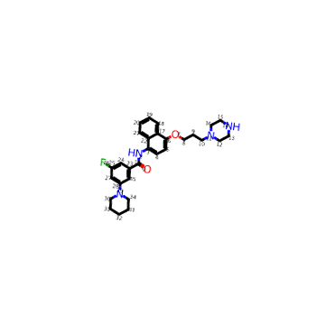 O=C(Nc1ccc(OCCCN2CCNCC2)c2ccccc12)c1cc(F)cc(N2CCCCC2)c1